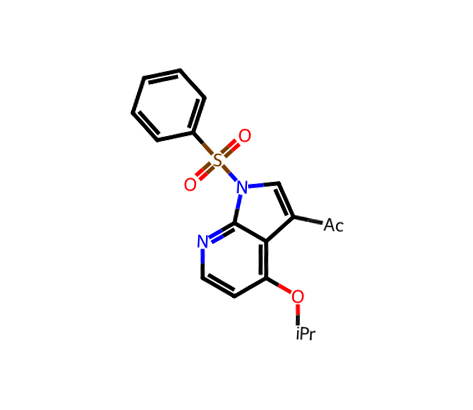 CC(=O)c1cn(S(=O)(=O)c2ccccc2)c2nccc(OC(C)C)c12